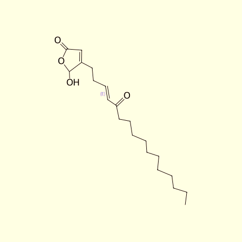 CCCCCCCCCCCC(=O)/C=C/CCC1=CC(=O)OC1O